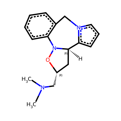 CN(C)C[C@H]1C[C@@H]2c3cccn3Cc3ccccc3N2O1